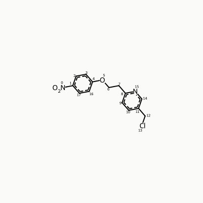 O=[N+]([O-])c1ccc(OCCc2ccc(CCl)cn2)cc1